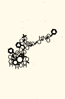 CC(=O)O[C@@H]1C2=C(C)[C@@H](OC(=O)[C@H](OC(=O)COCCOCCNC(=O)OCc3ccccc3)[C@@H](NC(=O)OC(C)(C)C)c3ccccc3)C[C@@](O)([C@@H](OC(=O)c3ccccc3)[C@@H]3[C@]4(OC(C)=O)CO[C@@H]4C[C@@H]4C[C@@]43C1O)C2(C)C